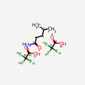 CC(C)CCC(N)=O.O=C(O)C(F)(F)F.O=C(O)C(F)(F)F